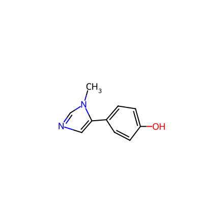 Cn1cncc1-c1ccc(O)cc1